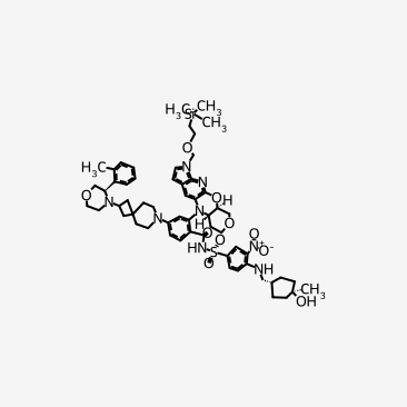 Cc1ccccc1[C@@H]1COCCN1C1CC2(CCN(c3ccc(C(=O)NS(=O)(=O)c4ccc(NC[C@H]5CC[C@](C)(O)CC5)c([N+](=O)[O-])c4)c(N4c5cc6ccn(COCC[Si](C)(C)C)c6nc5O[C@H]5COCC[C@@H]54)c3)CC2)C1